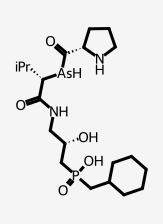 CC(C)[C@H]([AsH]C(=O)[C@@H]1CCCN1)C(=O)NC[C@H](O)CP(=O)(O)CC1CCCCC1